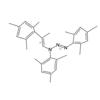 C/C(=C\N(/N=N/c1c(C)cc(C)cc1C)c1c(C)cc(C)cc1C)c1c(C)cc(C)cc1C